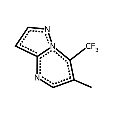 Cc1cnc2ccnn2c1C(F)(F)F